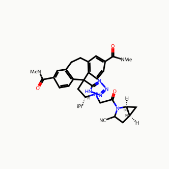 CNC(=O)c1ccc2c(c1)CCc1cc(C(=O)NC)ccc1C2(C[C@H](NCC(=O)N1C(C#N)C[C@@H]2C[C@@H]21)C(C)C)c1nnn[nH]1